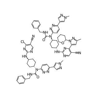 Cc1cc(-c2nc(N[C@H]3CC[C@H](N(C(=O)NCc4ccccc4)c4ccc(-c5cnn(C)c5)nn4)CC3)ncc2C#N)n(C2CCCCO2)n1.Cn1cc(-c2ccc(N(C(=O)NCc3ccccc3)[C@H]3CC[C@H](Nc4ncc(C#N)c(Cl)n4)CC3)nn2)cn1